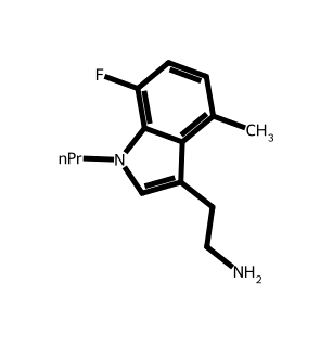 CCCn1cc(CCN)c2c(C)ccc(F)c21